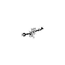 Cc1nc(NC(=O)NCCCOCC2CC2)sc1C#Cc1ccncc1